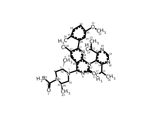 BC(=O)N1C[C@H](C)N(c2nc(=O)n(-c3c(C(C)C)ncnc3C(C)C)c3nc(-c4cc(OC)ccc4C)c(Cl)cc23)C[C@H]1C